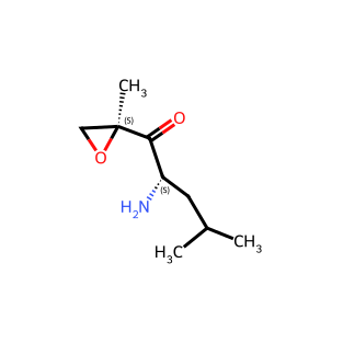 CC(C)C[C@H](N)C(=O)[C@]1(C)CO1